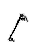 CCCCCCCCCCCCCCCCCCCCCCC(CCC)CCN